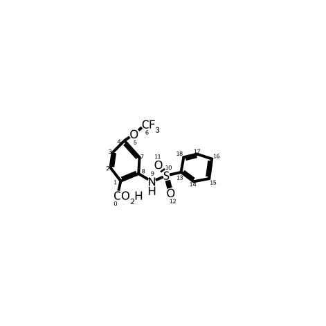 O=C(O)c1ccc(OC(F)(F)F)cc1NS(=O)(=O)c1ccccc1